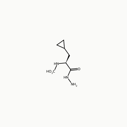 NNC(=O)[C@H](CC1CC1)NC(=O)O